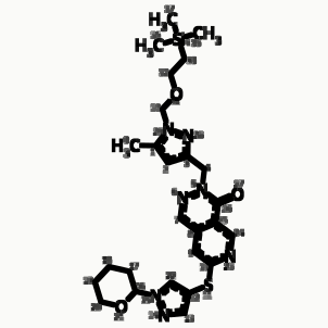 Cc1cc(Cn2ncc3cc(Sc4cnn(C5CCCCO5)c4)ncc3c2=O)nn1COCC[Si](C)(C)C